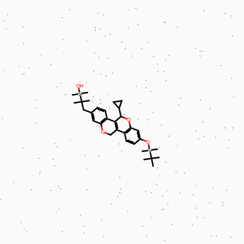 CC(C)(Cc1ccc2c(c1)OCC1=C2C(C2CC2)Oc2cc(O[Si](C)(C)C(C)(C)C)ccc21)[Si](C)(C)O